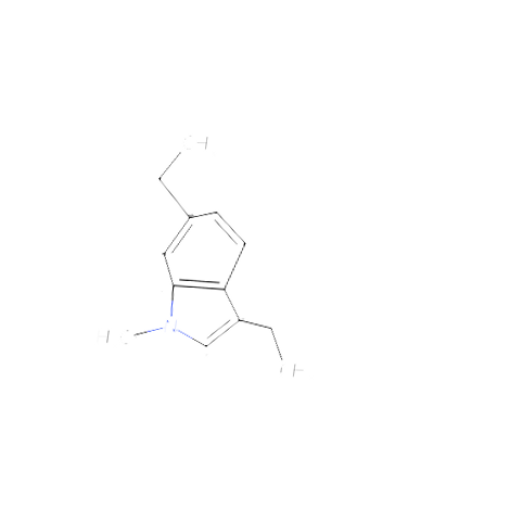 CCc1ccc2c(CC)cn(C)c2c1